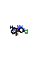 NC1C[C@H]2CC[C@@H](C1)N2Cc1ccc(Cl)cc1